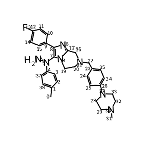 Cc1ccc(N(N)c2c(-c3ccc(F)cc3)nc3n2CCN(Cc2ccc(N4CCN(C)CC4)cc2)C3)cc1